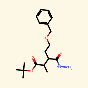 CC(C(=O)OC(C)(C)C)C(CCOCc1ccccc1)C(=O)NN